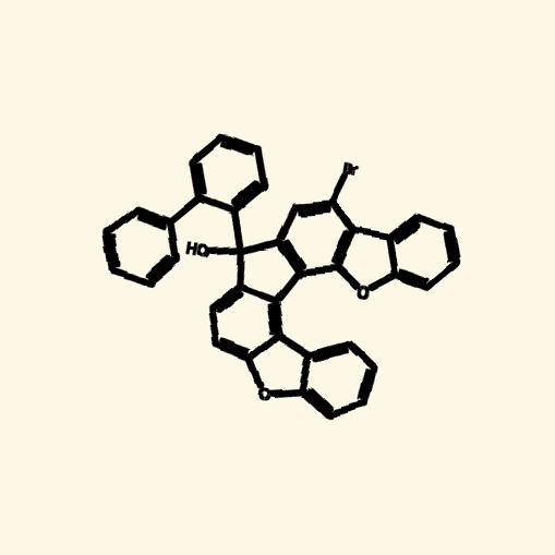 OC1(c2ccccc2-c2ccccc2)c2cc(Br)c3c(oc4ccccc43)c2-c2c1ccc1oc3ccccc3c21